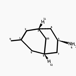 CC1C[C@@H]2C[C@@H](N)C[C@H](C1)C2